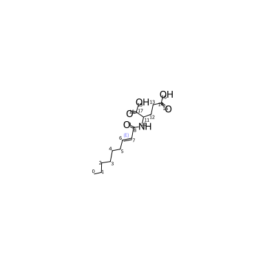 CCCCCC/C=C/C(=O)NC(CCC(=O)O)C(=O)O